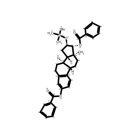 CC(C)(C)[Si](C)(C)O[C@@H]1C[C@H]2[C@@H]3CCc4cc(OC(=O)c5ccccc5)ccc4[C@H]3CC[C@]2(C)[C@H]1OC(=O)c1ccccc1